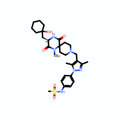 CCCCN1C(=O)[C@@H](CC2(O)CCCCC2)NC(=O)C12CCN(Cc1c(C)nn(-c3ccc(NS(C)(=O)=O)cc3)c1C)CC2